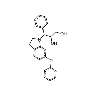 OC[C@@H](O)[C@H](c1ccccc1)N1CCc2ccc(Oc3ccccc3)cc21